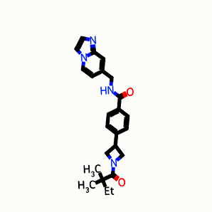 CCC(C)(C)C(=O)N1CC(c2ccc(C(=O)NCc3ccn4ccnc4c3)cc2)C1